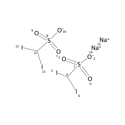 O=S(=O)([O-])C(I)I.O=S(=O)([O-])C(I)I.[Na+].[Na+]